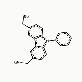 CC(C)(C)Cc1ccc2c(c1)c1cc(CC(C)(C)C)ccc1n2-c1ccccc1